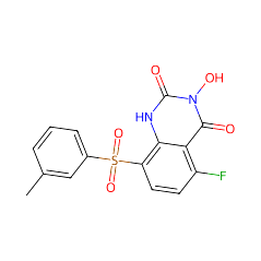 Cc1cccc(S(=O)(=O)c2ccc(F)c3c(=O)n(O)c(=O)[nH]c23)c1